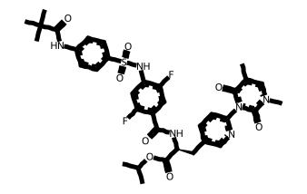 Cc1cn(C)c(=O)n(-c2ccc(C[C@H](NC(=O)c3cc(F)c(NS(=O)(=O)c4ccc(NC(=O)C(C)(C)C)cc4)cc3F)C(=O)OC(C)C)cn2)c1=O